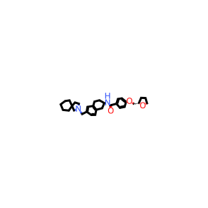 O=C(N[C@H]1CCc2cc(CN3CCC4(CCCCC4)C3)ccc2C1)c1ccc(OC[C@@H]2CCCO2)cc1